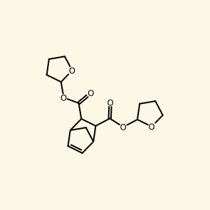 O=C(OC1CCCO1)C1C2C=CC(C2)C1C(=O)OC1CCCO1